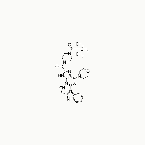 CCc1nc2ccccc2n1-c1nc(N2CCOCC2)c2nc(C(=O)N3CCN(C(=O)C(C)(C)C)CC3)[nH]c2n1